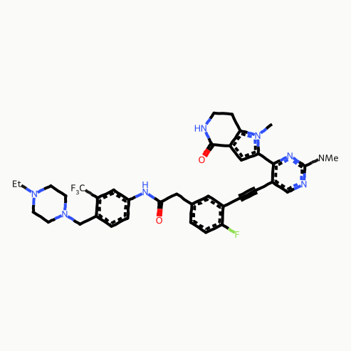 CCN1CCN(Cc2ccc(NC(=O)Cc3ccc(F)c(C#Cc4cnc(NC)nc4-c4cc5c(n4C)CCNC5=O)c3)cc2C(F)(F)F)CC1